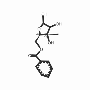 C[C@]1(O)C(O)C(O)O[C@@H]1COC(=O)c1ccccc1